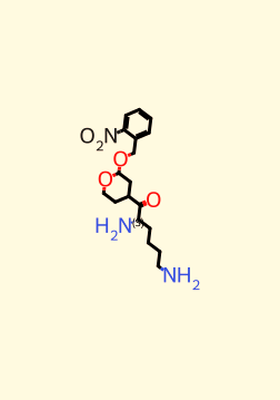 NCCCC[C@H](N)C(=O)C1CCOC(OCc2ccccc2[N+](=O)[O-])C1